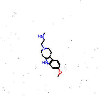 CNCCN1CCc2[nH]c3cc(OC)ccc3c2CC1